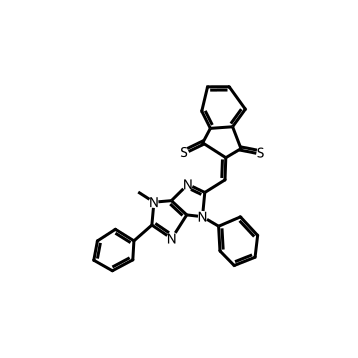 Cn1c(-c2ccccc2)nc2c1nc(C=C1C(=S)c3ccccc3C1=S)n2-c1ccccc1